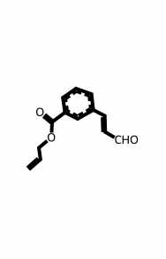 C=CCOC(=O)c1cccc(C=CC=O)c1